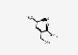 CC(C#N)C=C(CO)C(N)=O